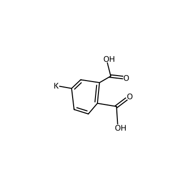 O=C(O)c1cc[c]([K])cc1C(=O)O